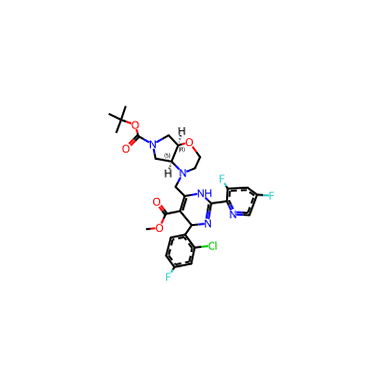 COC(=O)C1=C(CN2CCO[C@@H]3CN(C(=O)OC(C)(C)C)C[C@@H]32)NC(c2ncc(F)cc2F)=NC1c1ccc(F)cc1Cl